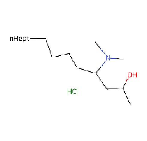 CCCCCCCCCCCC(CC(C)O)N(C)C.Cl